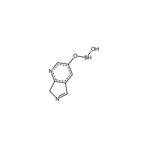 OBOc1cnc2c(c1)C=NC2